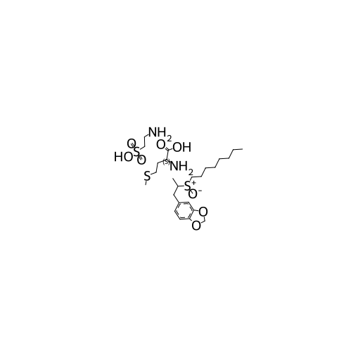 CCCCCCCC[S+]([O-])C(C)Cc1ccc2c(c1)OCO2.CSCC[C@H](N)C(=O)O.NCCS(=O)(=O)O